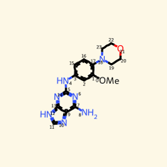 COc1cc(Nc2nc(N)c3nc[nH]c3n2)ccc1N1CCOCC1